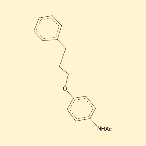 CC(=O)Nc1ccc(OCCCc2ccccc2)cc1